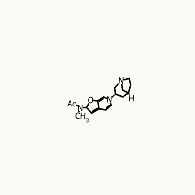 CC(=O)N(C)C1C=C2C=CN([C@@H]3C[C@H]4CCN(C4)C3)C=C2O1